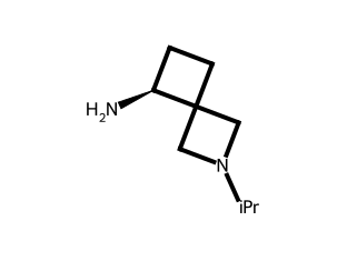 CC(C)N1CC2(CC[C@@H]2N)C1